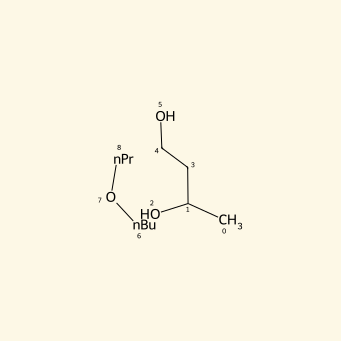 CC(O)CCO.CCCCOCCC